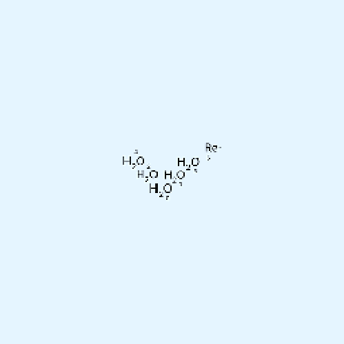 O.O.O.O.O.[Re]